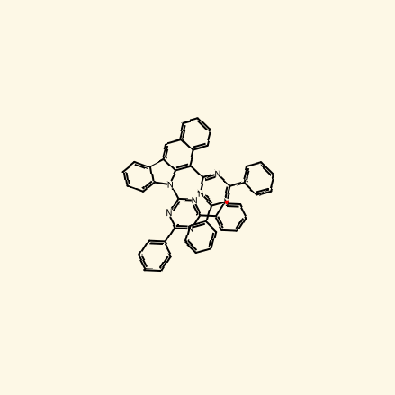 c1ccc(-c2nc(-c3ccccc3)nc(-c3c4ccccc4cc4c5ccccc5n(-c5nc(-c6ccccc6)nc(-c6ccccc6)n5)c34)n2)cc1